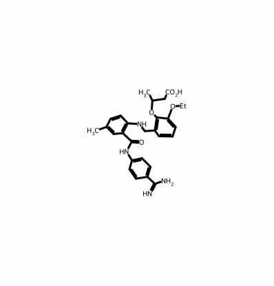 CCOc1cccc(CNc2ccc(C)cc2C(=O)Nc2ccc(C(=N)N)cc2)c1OC(C)CC(=O)O